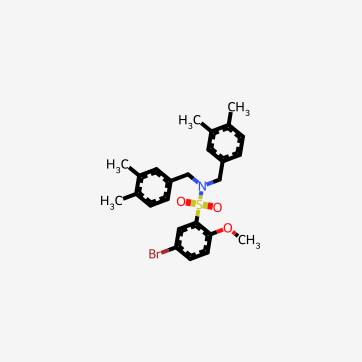 COc1ccc(Br)cc1S(=O)(=O)N(Cc1ccc(C)c(C)c1)Cc1ccc(C)c(C)c1